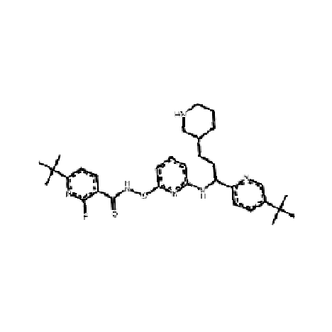 CC(C)(C)c1ccc(C(CCC2CCCNC2)Nc2cccc(SNC(=O)c3ccc(C(C)(C)C)nc3F)n2)nc1